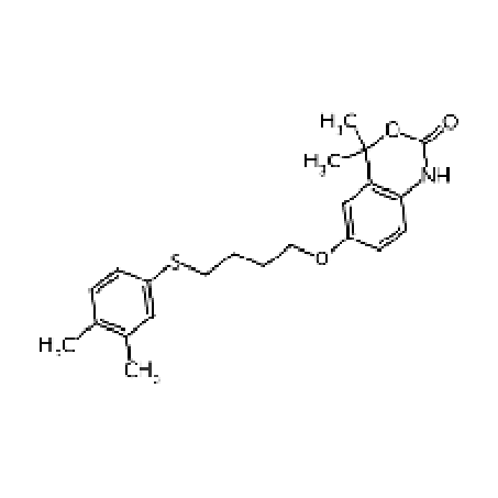 Cc1ccc(SCCCCOc2ccc3c(c2)C(C)(C)OC(=O)N3)cc1C